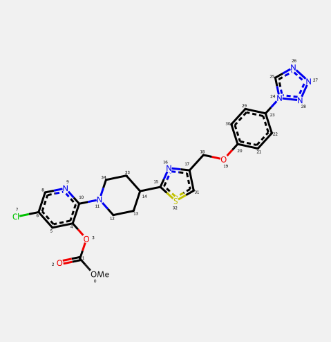 COC(=O)Oc1cc(Cl)cnc1N1CCC(c2nc(COc3ccc(-n4cnnn4)cc3)cs2)CC1